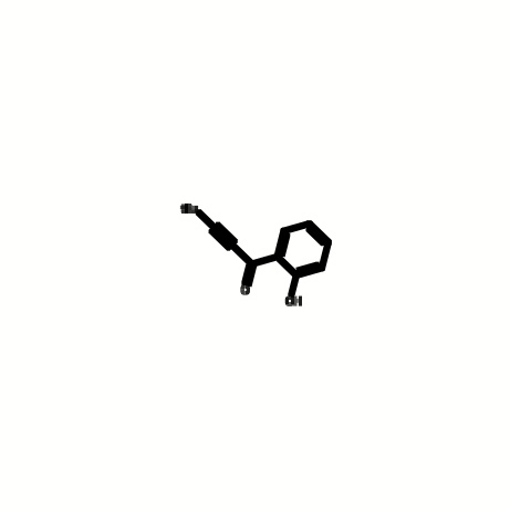 CC(C)(C)C#CC(=O)c1ccccc1O